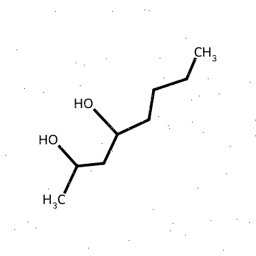 CCCCC(O)CC(C)O